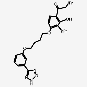 CCCc1c(OCCCCOc2cccc(-c3nn[nH]n3)c2)ccc(C(=O)CC(C)C)c1O